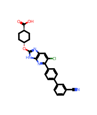 N#Cc1cccc(-c2ccc(-c3nc4[nH]c(O[C@H]5CC[C@H](C(=O)O)CC5)nc4cc3Cl)cc2)c1